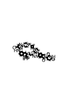 CNC(=O)COc1cc2cc(Nc3nc(N4CCN(C[C@H]5C[C@H](N6CCN(c7ccc8c(c7)CN(C7CCC(=O)NC7=O)C8=O)CC6)C5)CC4)ncc3Cl)ccc2n(C(C)C)c1=O